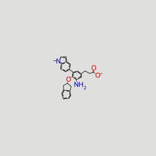 COC(=O)CCc1cc(N)c(OC2Cc3ccccc3C2)c(-c2ccc3c(ccn3C)c2)c1